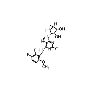 COc1ccc(F)c(F)c1CNc1nc(Cl)nc2c1ncn2[C@H]1[C@H](O)[C@H](O)[C@@H]2C[C@@H]21